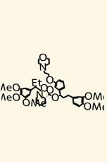 CC[C@H](C(=O)N1CCCC[C@H]1C(=O)OC(CCc1ccc(OC)c(OC)c1)c1cccc(OCCN2CCOCC2)c1)c1cc(OC)c(OC)c(OC)c1